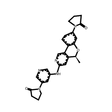 C[C@@H]1Oc2cc(N3CCCC3=O)ccc2-c2cnc(Nc3cncc(N4CCCC4=O)c3)cc21